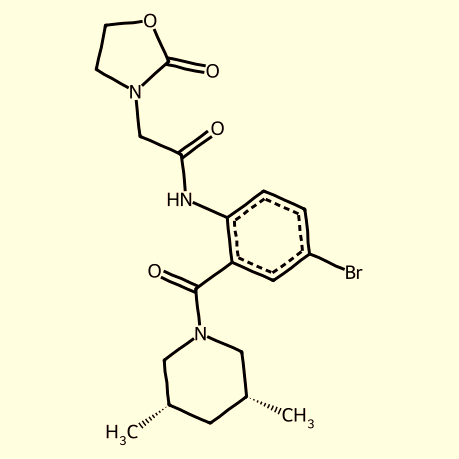 C[C@@H]1C[C@H](C)CN(C(=O)c2cc(Br)ccc2NC(=O)CN2CCOC2=O)C1